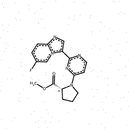 COC(=O)[C@H]1CCCN1c1ccnc(-c2cnc3ccc(F)cn23)n1